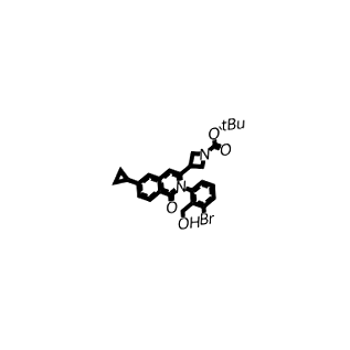 CC(C)(C)OC(=O)N1CC(c2cc3cc(C4CC4)ccc3c(=O)n2-c2cccc(Br)c2CO)C1